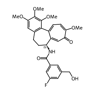 COc1cc2c(c(OC)c1OC)-c1ccc(OC)c(=O)cc1[C@@H](NC(=O)c1cc(F)cc(CO)c1)CC2